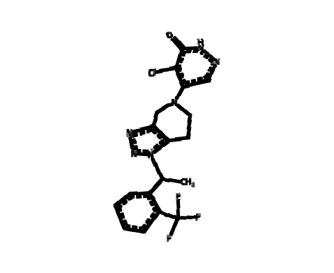 CC(c1ccccc1C(F)(F)F)n1nnc2c1CCN(c1cn[nH]c(=O)c1Cl)C2